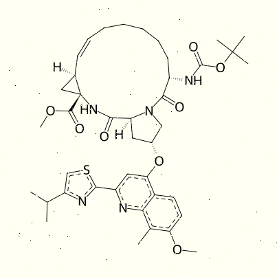 COC(=O)[C@@]12C[C@H]1/C=C\CCCCC[C@H](NC(=O)OC(C)(C)C)C(=O)N1C[C@H](Oc3cc(-c4nc(C(C)C)cs4)nc4c(C)c(OC)ccc34)C[C@H]1C(=O)N2